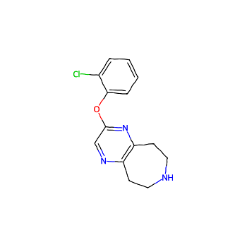 Clc1ccccc1Oc1cnc2c(n1)CCNCC2